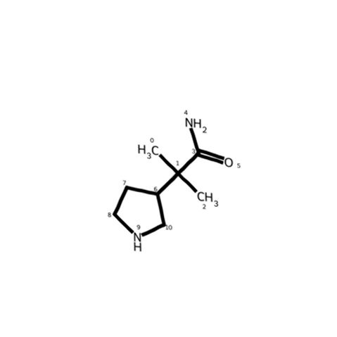 CC(C)(C(N)=O)C1CCNC1